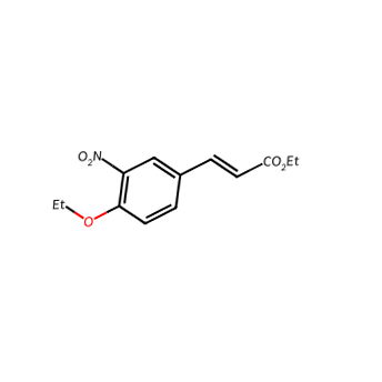 CCOC(=O)C=Cc1ccc(OCC)c([N+](=O)[O-])c1